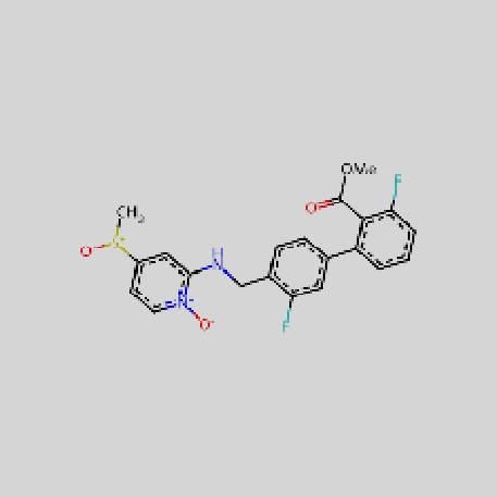 COC(=O)c1c(F)cccc1-c1ccc(CNc2cc([S+](C)[O-])cc[n+]2[O-])c(F)c1